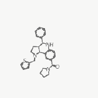 O=C(c1ccc2c(c1)C1C(CCN1Cc1cccs1)C(c1ccccc1)N2)N1CCCC1